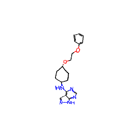 c1ccc(OCCO[C@H]2CC[C@H](Nc3ncnc4[nH]ncc34)CC2)cc1